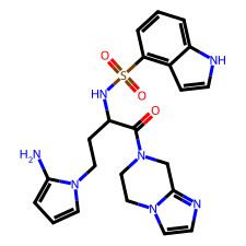 Nc1cccn1CCC(NS(=O)(=O)c1cccc2[nH]ccc12)C(=O)N1CCn2ccnc2C1